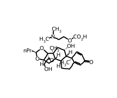 CCC[C@@H]1O[C@@H]2C[C@H]3[C@@H]4CCC5=CC(=O)C=C[C@]5(C)[C@H]4[C@@H](O)C[C@]3(C)[C@]2(C(=O)CO)O1.CN(C)CCOC(=O)O